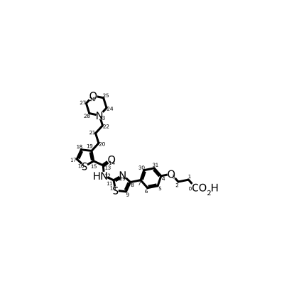 O=C(O)CCOc1ccc(-c2csc(NC(=O)c3sccc3CCCN3CCOCC3)n2)cc1